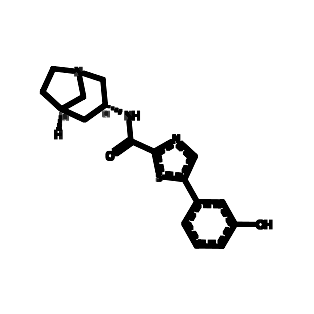 O=C(N[C@@H]1C[C@H]2CCN(C2)C1)c1ncc(-c2cccc(O)c2)s1